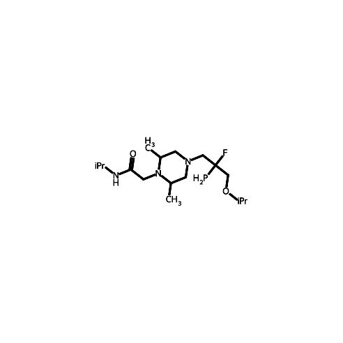 CC(C)NC(=O)CN1C(C)CN(CC(F)(P)COC(C)C)CC1C